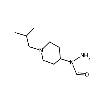 C[C](C)CN1CCC(N(N)C=O)CC1